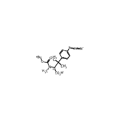 CN(C(=O)OC(C)(C)C)[C@H](C(=O)O)C(C)(C)c1ccc(N=[N+]=[N-])cc1